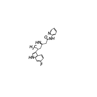 CC(CC(=N)CC(=O)Nc1ccccn1)c1c[nH]c2cc(F)ccc12